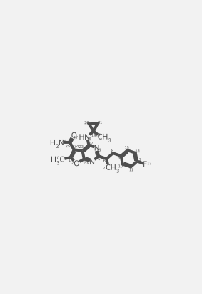 Cc1oc2nc(C(C)Cc3ccc(F)cc3)nc(NC3(C)CC3)c2c1C(N)=O